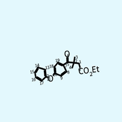 CCOC(=O)CC(C)(C)C(=O)c1ccc(Oc2ccccc2)cc1